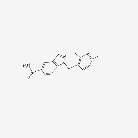 Cc1ccc(Cn2ncc3cc(C(N)=O)ccc32)c(C)n1